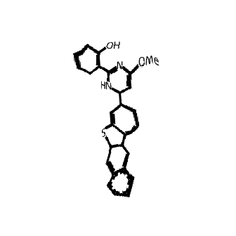 COC1=CC(C2C=C3SC4C=c5ccccc5=CC4C3=CC2)NC(C2=C(O)CCCC2)=N1